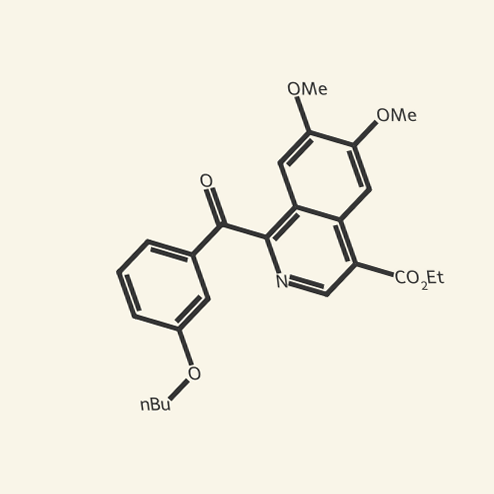 CCCCOc1cccc(C(=O)c2ncc(C(=O)OCC)c3cc(OC)c(OC)cc23)c1